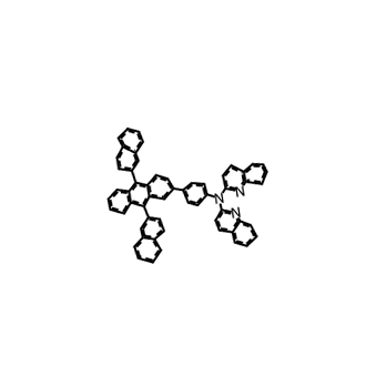 c1ccc2cc(-c3c4ccccc4c(-c4ccc5ccccc5c4)c4cc(-c5ccc(N(c6ccc7ccccc7n6)c6ccc7ccccc7n6)cc5)ccc34)ccc2c1